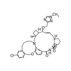 Cn1cnc(CO[C@H]2/C=C/C[C@@H]3CCC[C@H]3S(=O)(=O)NC(=O)c3ccc4c(c3)N(CCCCc3cc(Cl)ccc3CO4)C[C@@H]3CC[C@H]32)n1